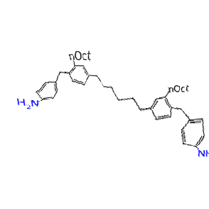 CCCCCCCCc1cc(CCCCCCc2ccc(Cc3ccc(N)cc3)c(CCCCCCCC)c2)ccc1Cc1ccc(N)cc1